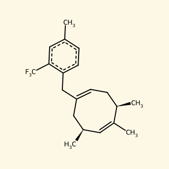 C/C1=C/[C@@H](C)C/C(Cc2ccc(C)cc2C(F)(F)F)=C\C[C@H]1C